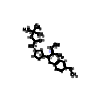 COc1ccc(CN(/C(N)=N/O)[C@H]2CC[C@H](NC(=O)OC(C)(C)C)C2)cc1